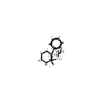 CCN[C@@]1(c2ccccc2)CCCCC1(F)F